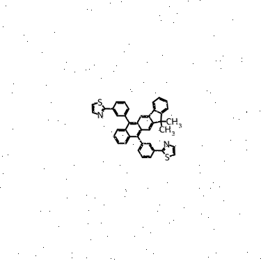 CC1(C)c2ccccc2-c2cc3c(-c4cccc(-c5nccs5)c4)c4ccccc4c(-c4cccc(-c5nccs5)c4)c3cc21